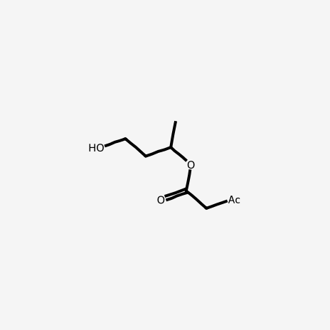 CC(=O)CC(=O)OC(C)CCO